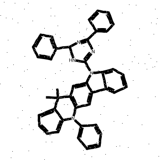 CC1(C)c2ccccc2N(c2ccccc2)c2cc3c4ccccc4n(C4=NC(c5ccccc5)=NC(c5ccccc5)N4)c3cc21